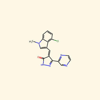 Cn1cc(C=C2C(=O)NN=C2c2cnccn2)c2c(Cl)cccc21